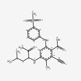 Cc1c(NC(CC(C)C)C(N)=O)nc(Nc2cccc(S(C)(=O)=O)c2)c(C(=O)O)c1C#N